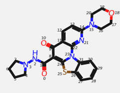 O=C(NN1CCCC1)c1c(=O)c2ccc(N3CCOCC3)nc2n2c1sc1ccccc12